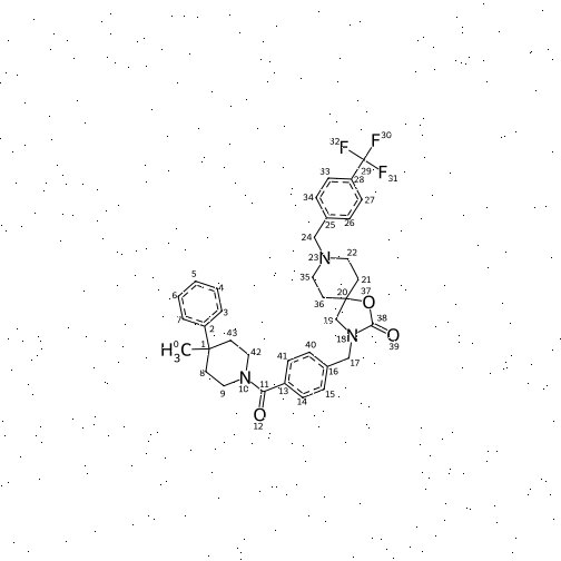 CC1(c2ccccc2)CCN(C(=O)c2ccc(CN3CC4(CCN(Cc5ccc(C(F)(F)F)cc5)CC4)OC3=O)cc2)CC1